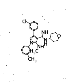 CNc1c(C(=N)NC2CCOCC2)c(-c2cccc(Cl)c2)cn1-c1cccc(C)c1